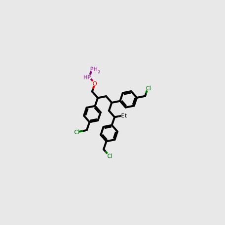 CCC(CC(CC(COPP)c1ccc(CCl)cc1)c1ccc(CCl)cc1)c1ccc(CCl)cc1